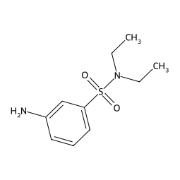 CCN(CC)S(=O)(=O)c1cccc(N)c1